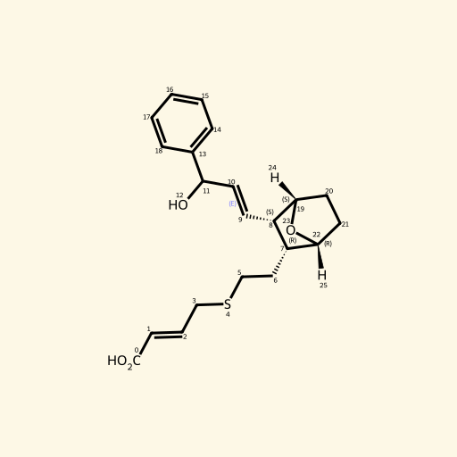 O=C(O)C=CCSCC[C@@H]1[C@H](/C=C/C(O)c2ccccc2)[C@@H]2CC[C@H]1O2